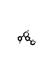 CN1CC=C(c2cccc(F)c2)c2ccc(-c3cccnn3)cc2C1